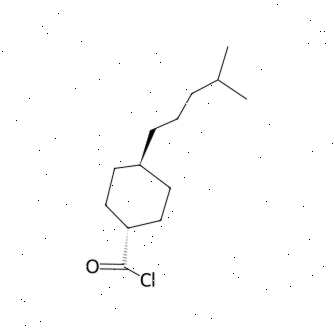 CC(C)CCC[C@H]1CC[C@H](C(=O)Cl)CC1